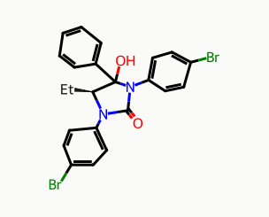 CC[C@@H]1N(c2ccc(Br)cc2)C(=O)N(c2ccc(Br)cc2)C1(O)c1ccccc1